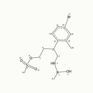 CB(O)NCC(CCOS(C)(=O)=O)c1ccc(Br)cc1C